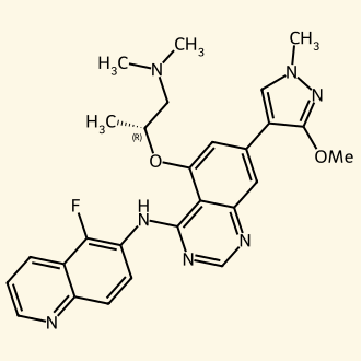 COc1nn(C)cc1-c1cc(O[C@H](C)CN(C)C)c2c(Nc3ccc4ncccc4c3F)ncnc2c1